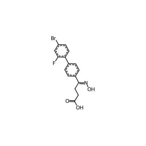 O=C(O)CCC(=NO)c1ccc(-c2ccc(Br)cc2F)cc1